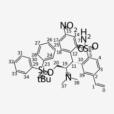 C=Cc1ccc(S(N)(=O)=O)c([C@@H](c2ccc([N+](=O)[O-])cc2)[C@H](CO[Si](c2ccccc2)(c2ccccc2)C(C)(C)C)N(C)C)c1